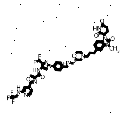 Cn1c(=O)n(C2CCC(=O)NC2=O)c2ccc(CCCN3CCO[C@@H](CNCc4ccc(-n5cc(NC(=O)c6coc(-c7ccnc(NCC(F)(F)F)c7)n6)c(C(F)F)n5)cc4)C3)cc21